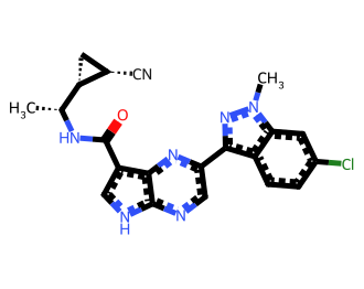 C[C@@H](NC(=O)c1c[nH]c2ncc(-c3nn(C)c4cc(Cl)ccc34)nc12)[C@@H]1C[C@@H]1C#N